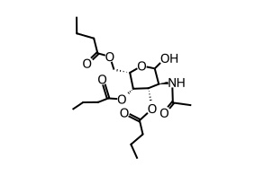 CCCC(=O)OC[C@@H]1OC(O)[C@@H](NC(C)=O)[C@H](OC(=O)CCC)[C@@H]1OC(=O)CCC